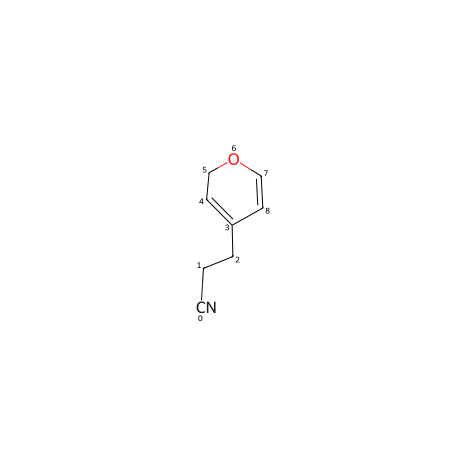 N#CCCC1=CCOC=C1